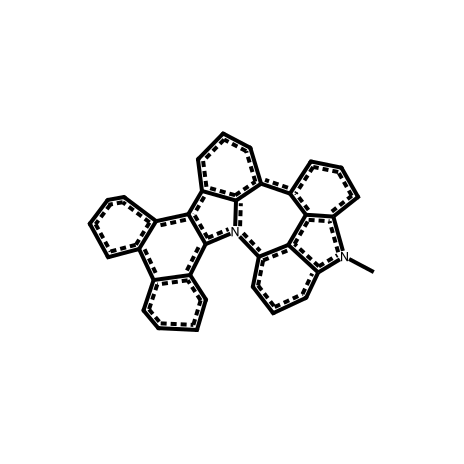 Cn1c2cccc3c4cccc5c6c7ccccc7c7ccccc7c6n(c6cccc1c6c32)c45